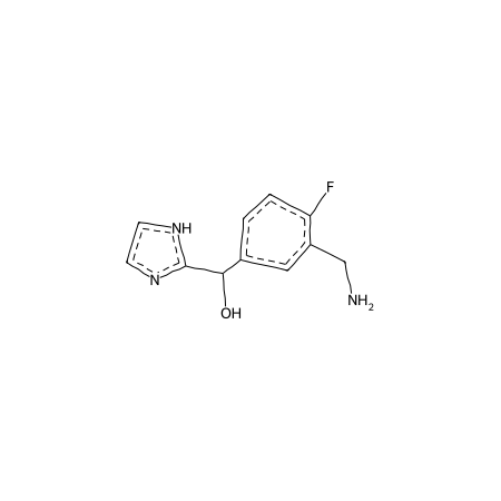 NCc1cc(C(O)c2ncc[nH]2)ccc1F